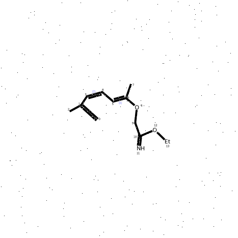 C=C(C)/C=C\C=C(/C)OCC(=N)OCC